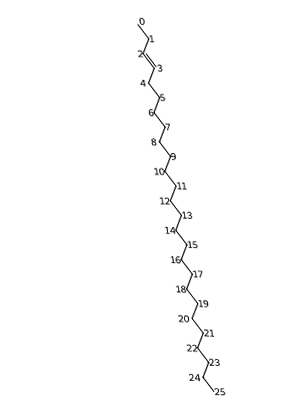 CCC=CCCCCCCCCCCCCCCCCCCCCCC